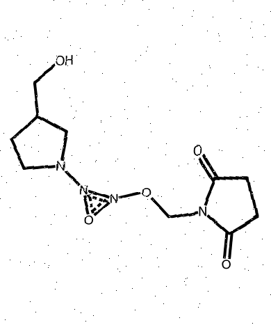 O=C1CCC(=O)N1COn1on1N1CCC(CO)C1